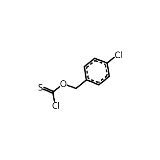 S=C(Cl)OCc1ccc(Cl)cc1